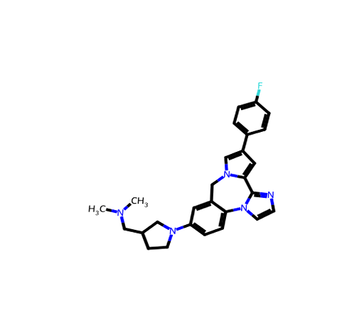 CN(C)CC1CCN(c2ccc3c(c2)Cn2cc(-c4ccc(F)cc4)cc2-c2nccn2-3)C1